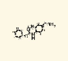 NCc1ccc(NC(=O)Oc2ccccc2)c(Cl)c1